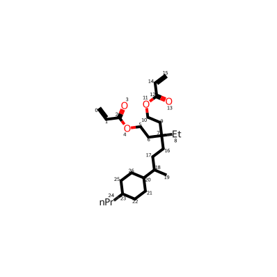 C=CC(=O)OCCC(CC)(CCOC(=O)C=C)CCC(C)C1CCC(CCC)CC1